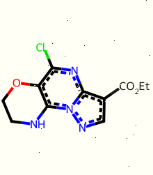 CCOC(=O)c1cnn2c3c(c(Cl)nc12)OCCN3